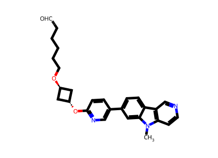 Cn1c2ccncc2c2ccc(-c3ccc(O[C@H]4C[C@H](OCCCCCC=O)C4)nc3)cc21